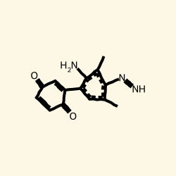 Cc1cc(C2=CC(=O)C=CC2=O)c(N)c(C)c1N=N